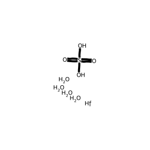 O.O.O.O.O=S(=O)(O)O.[Hf]